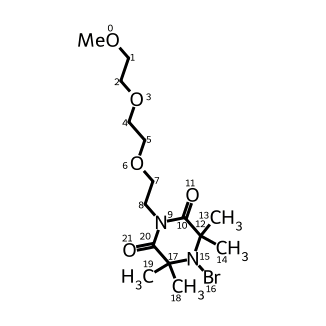 COCCOCCOCCN1C(=O)C(C)(C)N(Br)C(C)(C)C1=O